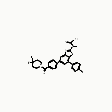 CN(C(=O)O)c1nc2cc(-c3ccc(C(=O)N4CCC(F)(F)CC4)cc3)cc(-c3ccc(F)cc3)c2s1